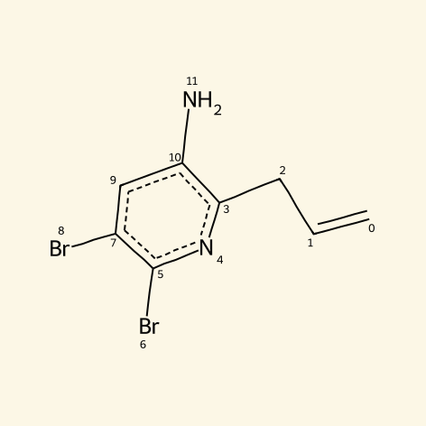 C=CCc1nc(Br)c(Br)cc1N